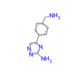 NCc1ccc(-c2cnnc(N)n2)cc1